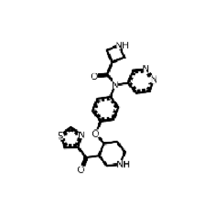 O=C(c1cscn1)C1CNCCC1Oc1ccc(N(C(=O)C2CNC2)c2ccnnc2)cc1